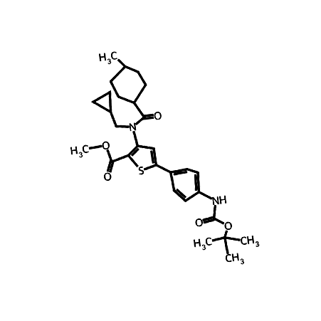 COC(=O)c1sc(-c2ccc(NC(=O)OC(C)(C)C)cc2)cc1N(CC1CC1)C(=O)C1CCC(C)CC1